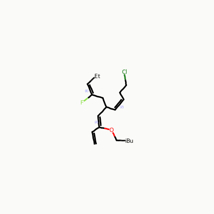 C=C/C(=C/C(/C=C\CCCl)C/C(F)=C\CC)OCC(C)CC